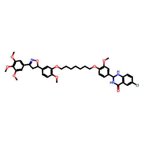 COc1cc(C2NC(=O)c3cc(Cl)ccc3N2)ccc1OCCCCCCCOc1cc(C2CC(c3cc(OC)c(OC)c(OC)c3)=NO2)ccc1OC